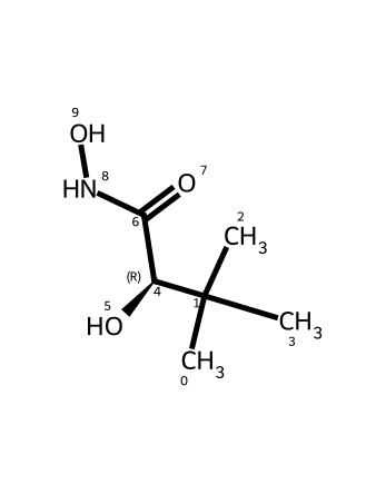 CC(C)(C)[C@@H](O)C(=O)NO